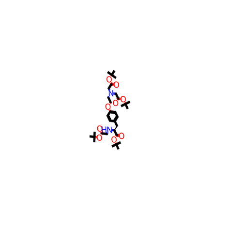 CC(C)(C)OC(=O)CN[C@@H](Cc1ccc(OCCN(CC(=O)OC(C)(C)C)CC(=O)OC(C)(C)C)cc1)C(=O)OC(C)(C)C